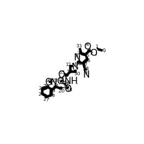 CCOC(=O)c1cc(C#N)c(N2CC(C(=O)NS(=O)(=O)Cc3noc4ccccc34)C2)nc1C